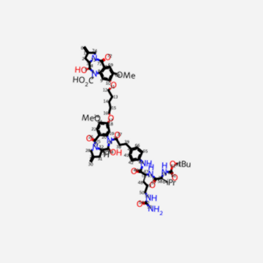 C=C1CC2C(O)N(C(=O)O)c3cc(OCCCCCOc4cc5c(cc4OC)C(=O)N4CC(=C)C[C@H]4[C@H](O)N5C(=O)CCc4ccc(NC(=O)[C@H](CCCNC(N)=O)NC(=O)[C@@H](NC(=O)OC(C)(C)C)C(C)C)cc4)c(OC)cc3C(=O)N2C1